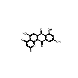 Cc1cc(=O)c2c(O)cc3c(c2o1)C(=O)c1cc(O)cc(O)c1C3=O